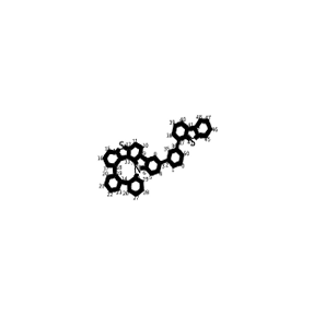 c1cc(-c2ccc3c(c2)c2ccc4sc5cccc6c7ccccc7c7ccccc7n3c2c4c56)cc(-c2cccc3c2sc2ccccc23)c1